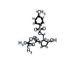 Cc1ccc(S(=O)(=O)OC[C@H]2[C@@H](O)CCN2C(=O)OC(C)(C)C)cc1